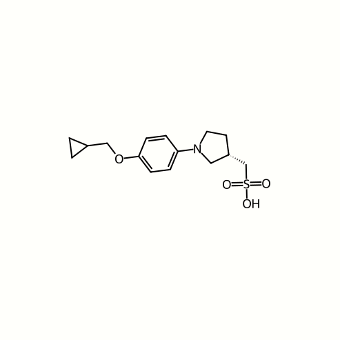 O=S(=O)(O)C[C@H]1CCN(c2ccc(OCC3CC3)cc2)C1